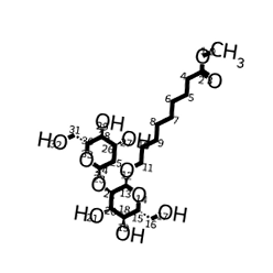 COC(=O)CCCCCCCCO[C@H]1O[C@H](CO)[C@@H](O)[C@H](O)[C@H]1O[C@@H]1C[C@@H](O)[C@H](O)[C@@H](CO)O1